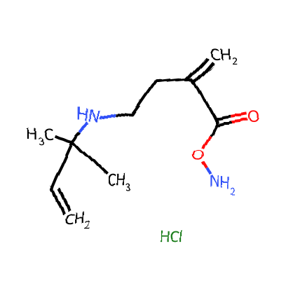 C=CC(C)(C)NCCC(=C)C(=O)ON.Cl